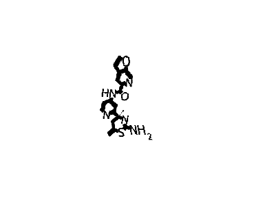 C=C1C[C@@](C)(c2cc(NC(=O)c3cc4ccoc4cn3)ccn2)N=C(N)S1